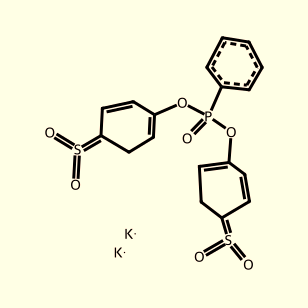 O=S(=O)=C1C=CC(OP(=O)(OC2=CCC(=S(=O)=O)C=C2)c2ccccc2)=CC1.[K].[K]